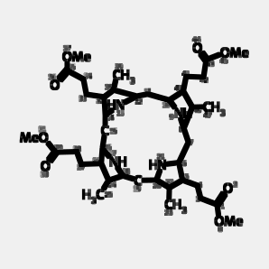 COC(=O)CCC1C2CC3NC(CC4NC(CC5NC(CC(N2)C1C)C(C)C5CCC(=O)OC)C(CCC(=O)OC)C4C)C(CCC(=O)OC)C3C